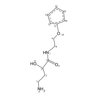 NCCC(O)C(=O)NCCOc1ccccc1